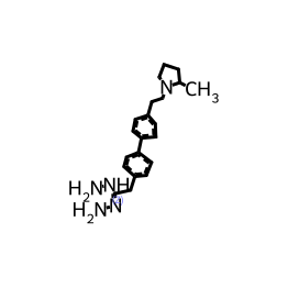 CC1CCCN1CCc1ccc(-c2ccc(C/C(=N/N)NN)cc2)cc1